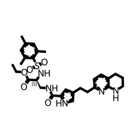 CCOC(=O)[C@H](CNC(=O)c1cc(CCc2ccc3c(n2)NCCC3)c[nH]1)NS(=O)(=O)c1c(C)cc(C)cc1C